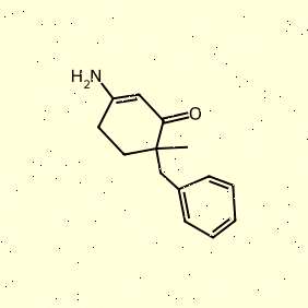 CC1(Cc2ccccc2)CCC(N)=CC1=O